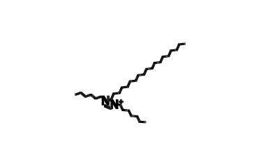 CCCCCCCCCCCCCCCCCCc1n(CCCCCC)cc[n+]1CCCCCCC